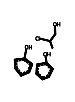 CC(Cl)CO.Oc1ccccc1.Oc1ccccc1